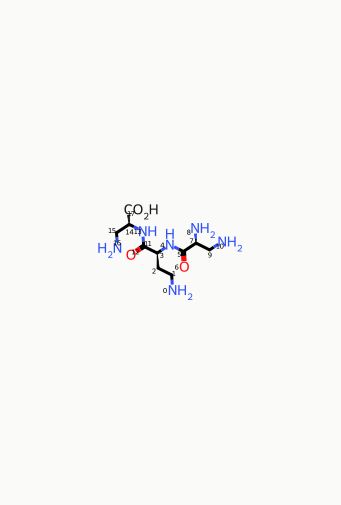 NCC[C@H](NC(=O)[C@@H](N)CN)C(=O)N[C@@H](CN)C(=O)O